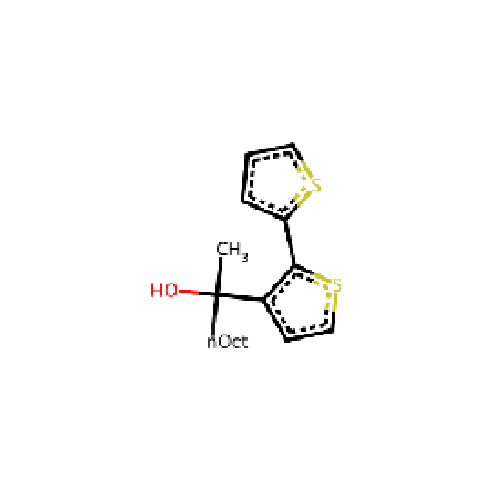 CCCCCCCCC(C)(O)c1ccsc1-c1cccs1